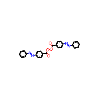 O=C(OOC(=O)c1ccc(N=Nc2ccccc2)cc1)c1ccc(N=Nc2ccccc2)cc1